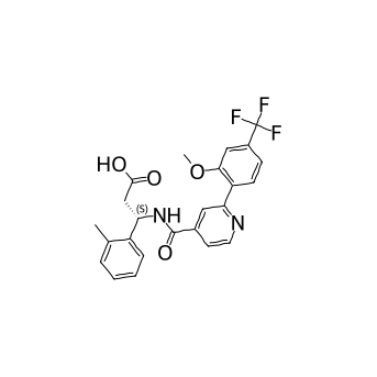 COc1cc(C(F)(F)F)ccc1-c1cc(C(=O)N[C@@H](CC(=O)O)c2ccccc2C)ccn1